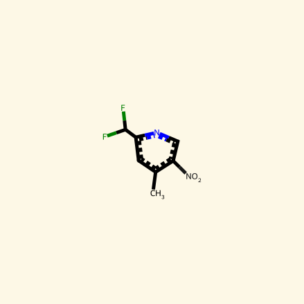 Cc1cc(C(F)F)ncc1[N+](=O)[O-]